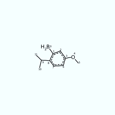 Bc1cc(OC)ccc1C(C)C